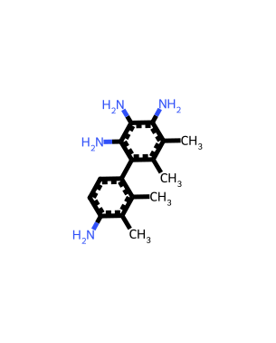 Cc1c(N)ccc(-c2c(C)c(C)c(N)c(N)c2N)c1C